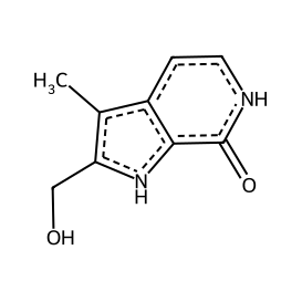 Cc1c(CO)[nH]c2c(=O)[nH]ccc12